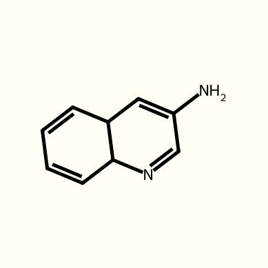 NC1=CC2C=CC=CC2N=C1